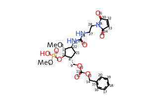 CO[C@H]1C(OP(=O)(O)OC)[C@@H](COC(=O)OCc2ccccc2)C[C@@H]1NC(=O)NCCN1C(=O)C=CC1=O